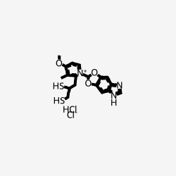 COc1cc[n+](C2Oc3cc4nc[nH]c4cc3O2)c(CC(S)CS)c1C.Cl.[Cl-]